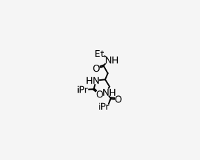 CCNC(=O)CC(CNC(=O)C(C)C)NC(=O)C(C)C